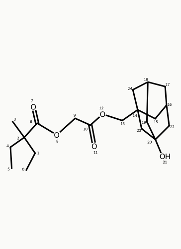 CCC(C)(CC)C(=O)OCC(=O)OCC12CC3CC(CC(O)(C3)C1)C2